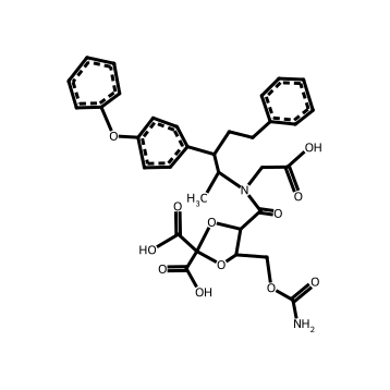 CC(C(CCc1ccccc1)c1ccc(Oc2ccccc2)cc1)N(CC(=O)O)C(=O)C1OC(C(=O)O)(C(=O)O)OC1COC(N)=O